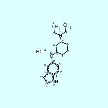 CCN(CC)C1CCCC(Oc2ccc3[nH]ncc3c2)C1.Cl